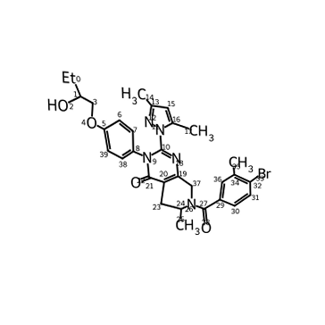 CCC(O)COc1ccc(-n2c(-n3nc(C)cc3C)nc3c(c2=O)CC(C)N(C(=O)c2ccc(Br)c(C)c2)C3)cc1